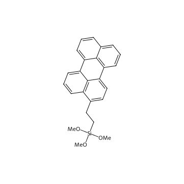 CO[Si](CCc1ccc2c3cccc4cccc(c5cccc1c52)c43)(OC)OC